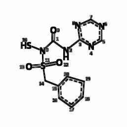 O=C(Nc1ncncn1)N(S)S(=O)(=O)Cc1ccccc1